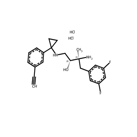 C#Cc1cccc(C2(NC[C@@H](O)[C@@](C)(N)Cc3cc(F)cc(F)c3)CC2)c1.Cl.Cl